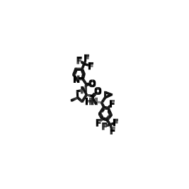 C[C@@H]1C[C@H](C(=O)N[C@@H](c2cc(F)c(C(F)(F)F)cc2F)C2CC2)N(C(=O)c2cc(C(F)(F)F)ccn2)C1